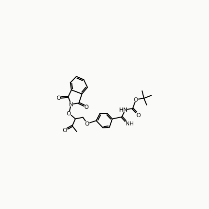 CC(=O)C(COc1ccc(C(=N)NC(=O)OC(C)(C)C)cc1)ON1C(=O)c2ccccc2C1=O